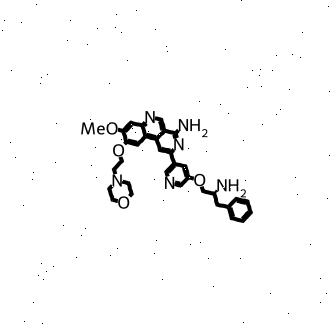 COc1cc2ncc3c(N)nc(-c4cncc(OC[C@@H](N)Cc5ccccc5)c4)cc3c2cc1OCCN1CCOCC1